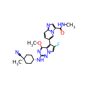 CNC(=O)c1cnc2ccc(-c3c(F)cn4nc(N[C@H]5CC[C@](C)(C#N)CC5)nc(OC)c34)cn12